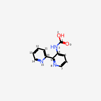 O=C(O)Nc1cccnc1-c1ccccn1